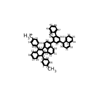 Cc1ccc(-c2c3c(c(-c4ccc(C)cc4)c4ccccc24)-c2ccc(-c4cc(-c5cccc6ccccc56)cc5c4sc4ccccc45)c4cccc-3c24)cc1